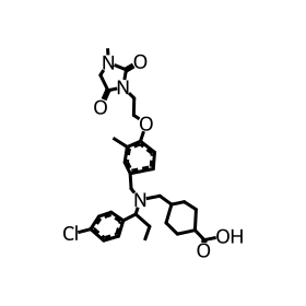 CCC(c1ccc(Cl)cc1)N(Cc1ccc(OCCN2C(=O)CN(C)C2=O)c(C)c1)CC1CCC(C(=O)O)CC1